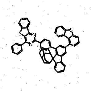 c1ccc(-c2nc(-c3ccc(-c4cc(-c5cccc6sc7ccccc7c56)cc5c4C4(c6ccccc6-5)C5CC6CC(C5)CC4C6)cc3)nc3c2sc2ccccc23)cc1